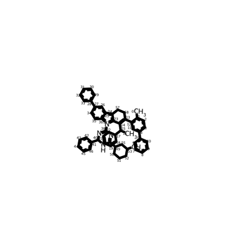 Cc1ccc(-c2ccccc2)cc1C1=C(C(C)C2C=CC=CC2)c2c(c3cc(-c4ccccc4)ccc3n2C2=NC(c3ccccc3)NC(C3CCCC(C)C3)=N2)CC1